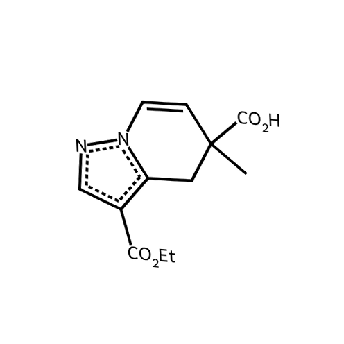 CCOC(=O)c1cnn2c1CC(C)(C(=O)O)C=C2